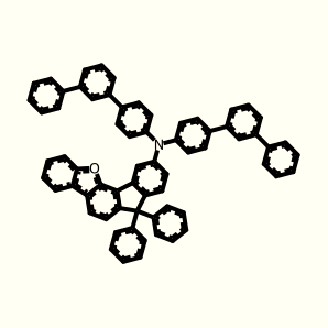 c1ccc(-c2cccc(-c3ccc(N(c4ccc(-c5cccc(-c6ccccc6)c5)cc4)c4ccc5c(c4)-c4c(ccc6c4oc4ccccc46)C5(c4ccccc4)c4ccccc4)cc3)c2)cc1